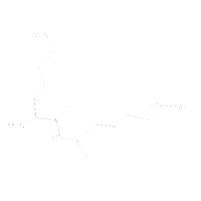 CNCCCCC(NC)C(=O)NC(CCCCNN)C(C)=O